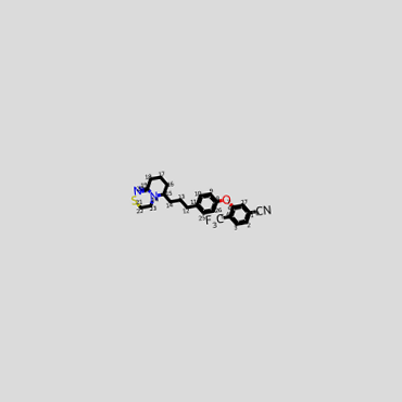 N#Cc1ccc(C(F)(F)F)c(Oc2ccc(CCCC3CCCC4=NSCCN43)cc2)c1